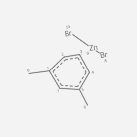 Cc1c[c]cc(C)c1.[Br][Zn][Br]